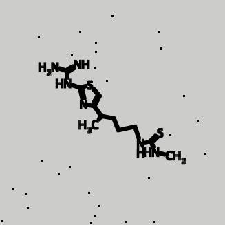 CNC(=S)NCCCC(C)c1csc(NC(=N)N)n1